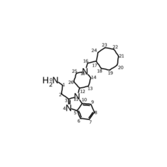 NCCc1nc2ccccc2n1C1CCN(CC2CCCCCCC2)CC1